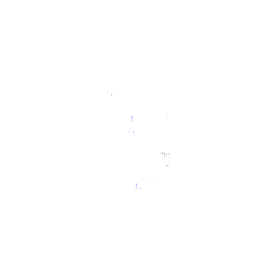 C[C@H]1c2oncc2C[C@@]2(C)c3nn(C4CCN(c5ccccc5)CC4)c(-c4ccccc4F)c3CC[C@H]12